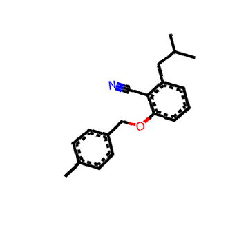 Cc1ccc(COc2cccc(CC(C)C)c2C#N)cc1